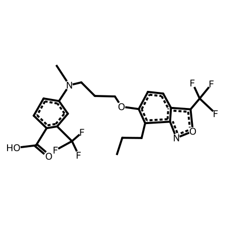 CCCc1c(OCCCN(C)c2ccc(C(=O)O)c(C(F)(F)F)c2)ccc2c(C(F)(F)F)onc12